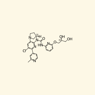 Cc1cc(-c2nc3c(cc2Cl)N2CC[C@@H](C2)N3C(=O)Nc2cccc(OC[C@@H](O)CO)n2)ccn1